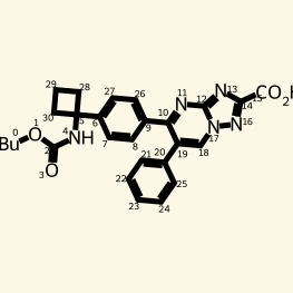 CC(C)(C)OC(=O)NC1(c2ccc(-c3nc4nc(C(=O)O)nn4cc3-c3ccccc3)cc2)CCC1